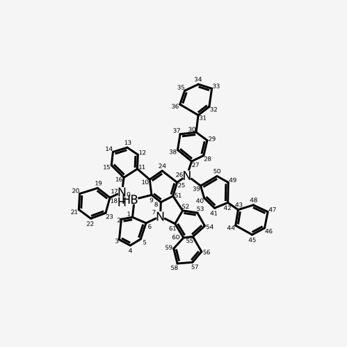 B1c2ccccc2-n2c3c1c(-c1ccccc1Nc1ccccc1)cc(N(c1ccc(-c4ccccc4)cc1)c1ccc(-c4ccccc4)cc1)c3c1ccc3ccccc3c12